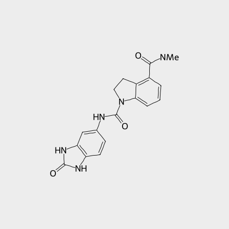 CNC(=O)c1cccc2c1CCN2C(=O)Nc1ccc2[nH]c(=O)[nH]c2c1